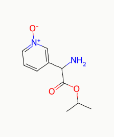 CC(C)OC(=O)C(N)c1ccc[n+]([O-])c1